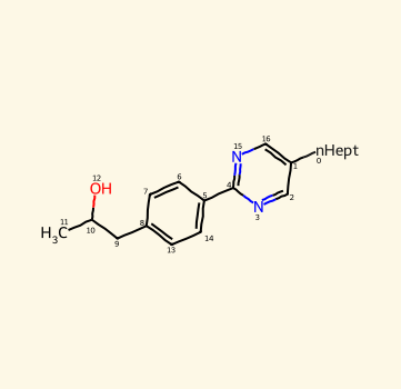 CCCCCCCc1cnc(-c2ccc(CC(C)O)cc2)nc1